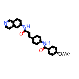 COc1ccc(C(=O)Nc2ccc(/C=C/C(=O)Nc3ccc4cnccc4c3)cc2)cc1